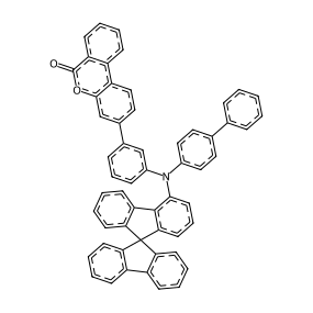 O=c1oc2cc(-c3cccc(N(c4ccc(-c5ccccc5)cc4)c4cccc5c4-c4ccccc4C54c5ccccc5-c5ccccc54)c3)ccc2c2ccccc12